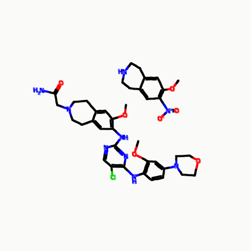 COc1cc2c(cc1Nc1ncc(Cl)c(Nc3ccc(N4CCOCC4)cc3OC)n1)CCN(CC(N)=O)CC2.COc1cc2c(cc1[N+](=O)[O-])CCNCC2